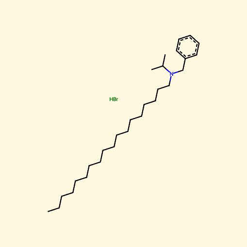 Br.CCCCCCCCCCCCCCCCCCN(Cc1ccccc1)C(C)C